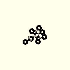 c1ccc(B2c3c(c4ccccc4n3-c3ccccc3)N(c3cnc(-c4ccccc4)nc3)c3c2n(-c2ccccc2)c2ccccc32)cc1